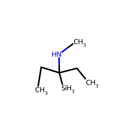 CCC([SiH3])(CC)NC